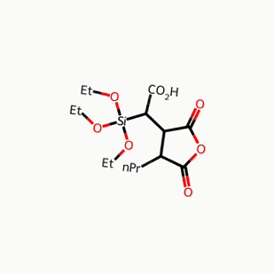 CCCC1C(=O)OC(=O)C1C(C(=O)O)[Si](OCC)(OCC)OCC